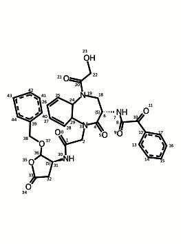 O=C(CN1C(=O)[C@@H](NC(=O)C(=O)c2ccccc2)CN(C(=O)CO)C2C=CC=CC21)N[C@H]1CC(=O)OC1OCc1ccccc1